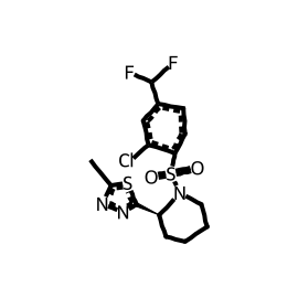 Cc1nnc([C@@H]2CCCCN2S(=O)(=O)c2ccc(C(F)F)cc2Cl)s1